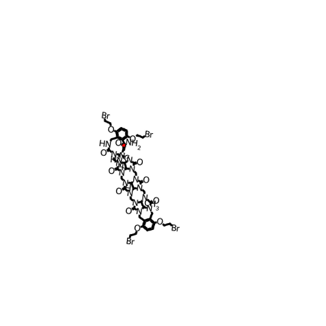 C[C@@]12C3N4CN5C(=O)N6CN7C(=O)N8CN(C(N)=O)[C@]9%10CCc%11c(OCCBr)ccc(OCCBr)c%11CNC(=O)N9CN9C(=O)N(CN%11C(=O)N(CN3C(=O)N1Cc1c(OCCBr)ccc(OCCBr)c1CN2C4=O)C5[C@H]6%11)[C@H]7[C@]89N%10